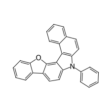 c1ccc(-n2c3ccc4ccccc4c3c3c4oc5ccccc5c4ccc32)cc1